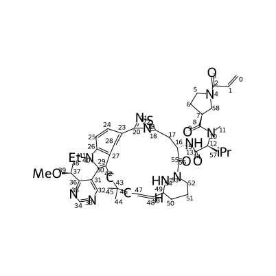 C=CC(=O)N1CC[C@H](C(=O)N(C)[C@H](C(=O)N[C@H]2Cc3nc(ns3)-c3ccc4c(c3)c(c(-c3cncnc3[C@H](C)OC)n4CC)CC(C)(C)C/C=C/[C@@H]3CCCN(N3)C2=O)C(C)C)C1